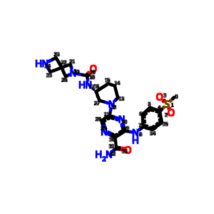 CS(=O)(=O)c1ccc(Nc2nc(N3CCC[C@@H](NC(=O)N4CC5(CNC5)C4)C3)cnc2C(N)=O)cc1